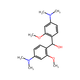 COc1cc(N(C)C)ccc1C(O)c1ccc(N(C)C)cc1OC